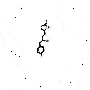 O=C1CCC(CCC(O)Cc2ccc(F)cc2)N1